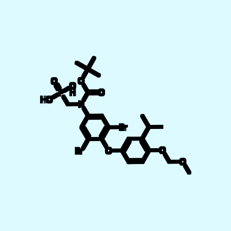 COCOc1ccc(Oc2c(Br)cc(N(CP(=O)(O)O)C(=O)OC(C)(C)C)cc2Br)cc1C(C)C